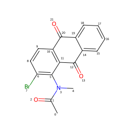 CC(=O)N(C)c1c(Br)ccc2c1C(=O)c1ccccc1C2=O